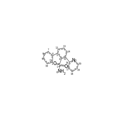 NS(=O)(=O)c1c(-c2ccccc2)cccc1-c1ccccn1